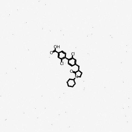 O=C(O)c1ccc(-c2ccc(CC3CCN(C4CCCCC4)C3=O)cc2Cl)c(Cl)c1